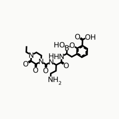 CCN1CCN(C(=O)NC(CCN)C(=O)NC2Cc3cccc(C(=O)O)c3OB2O)C(=O)C1=O